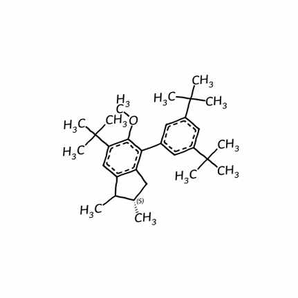 COc1c(C(C)(C)C)cc2c(c1-c1cc(C(C)(C)C)cc(C(C)(C)C)c1)C[C@H](C)C2C